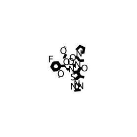 COCCO[C@@H](Cn1c(=O)n(C(C)C(=O)N2CCCC2)c(=O)c2c(C)c(-n3nccn3)sc21)c1cc(F)ccc1OC